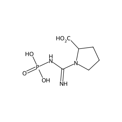 N=C(NP(=O)(O)O)N1CCCC1C(=O)O